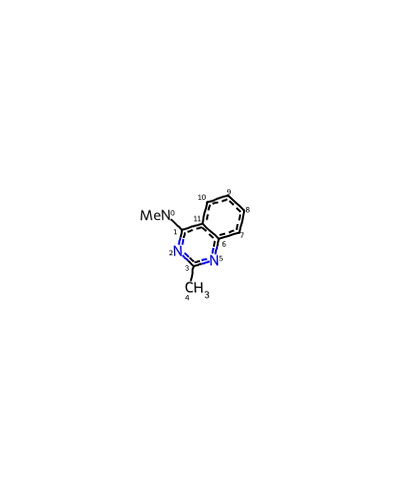 CNc1nc(C)nc2ccccc12